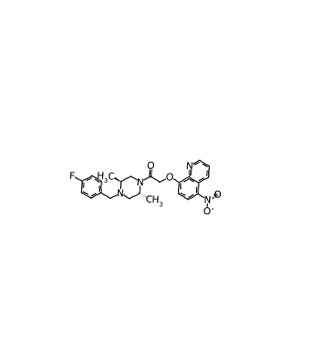 C[C@@H]1CN(Cc2ccc(F)cc2)[C@@H](C)CN1C(=O)COc1ccc([N+](=O)[O-])c2cccnc12